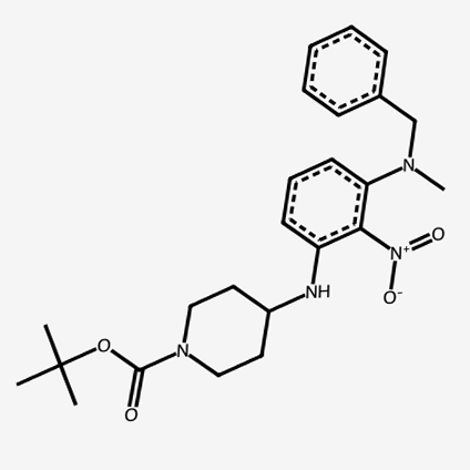 CN(Cc1ccccc1)c1cccc(NC2CCN(C(=O)OC(C)(C)C)CC2)c1[N+](=O)[O-]